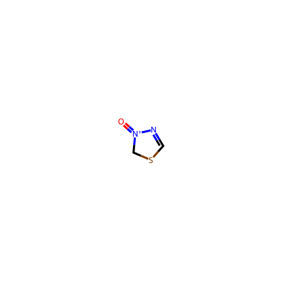 O=[N+]1CSC=N1